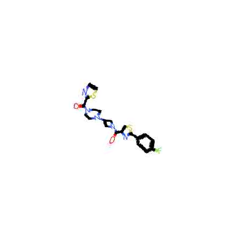 O=C(c1csc(-c2ccc(F)cc2)n1)N1CC(N2CCN(C(=O)c3nccs3)CC2)C1